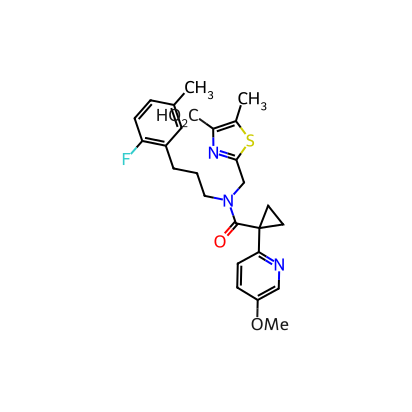 COc1ccc(C2(C(=O)N(CCCc3cc(C)ccc3F)Cc3nc(C(=O)O)c(C)s3)CC2)nc1